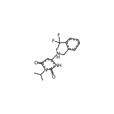 CC(C)n1c(=O)cc(NCc2ccccc2C(F)(F)F)[nH]c1=O